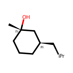 CC(C)C[C@H]1CCC[C@](C)(O)C1